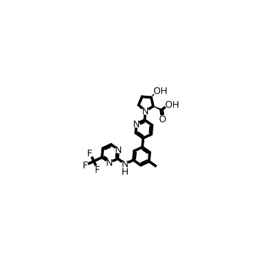 Cc1cc(Nc2nccc(C(F)(F)F)n2)cc(-c2ccc(N3CC[C@H](O)[C@H]3C(=O)O)nc2)c1